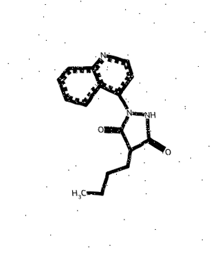 CCCCC1C(=O)NN(c2ccnc3ccccc23)C1=O